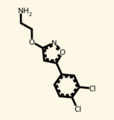 NCCOc1cc(-c2ccc(Cl)c(Cl)c2)on1